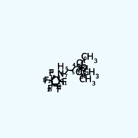 CCO[Si](CCCCNc1c(F)c(F)c(F)c(F)c1F)(OC)OCC